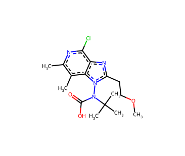 COCCc1nc2c(Cl)nc(C)c(C)c2n1N(C(=O)O)C(C)(C)C